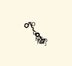 COC(C=O)N1Cc2ccc(OCCCCC(=O)N(C)C3CCCCC3)cc2N=C1N